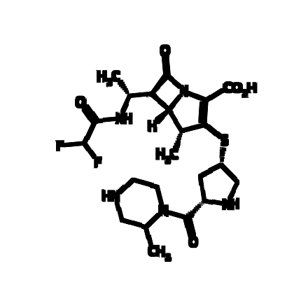 CC1CNCCN1C(=O)[C@@H]1C[C@H](SC2=C(C(=O)O)N3C(=O)[C@H]([C@@H](C)NC(=O)C(F)F)[C@H]3[C@H]2C)CN1